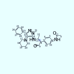 CC(=O)Nc1ccc(/C(C=O)=C(\C)Nc2c(N3CCCCC3)c(-c3ccccc3)nn2C)cc1